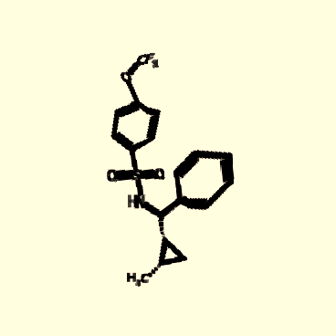 C[C@H]1C[C@H]1C(NS(=O)(=O)c1ccc(OC(F)(F)F)cc1)c1ccccc1